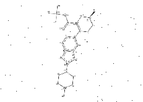 C[C@H]1CCC(c2ccc3nn(C4CCN(C)CC4)cc3c2)=[N+](C(=O)OC(C)(C)C)C1